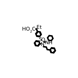 CCC(C(=O)O)c1ccc(Sc2ccccc2N(CCCc2ccccc2)C(=O)NC2CCCCC2)cc1